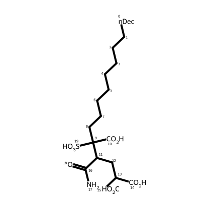 CCCCCCCCCCCCCCCCCCC(C(=O)O)(C(CC(C(=O)O)C(=O)O)C(N)=O)S(=O)(=O)O